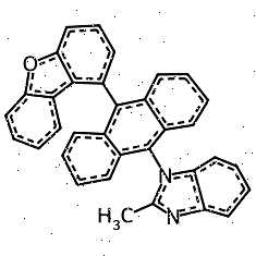 Cc1nc2ccccc2n1-c1c2ccccc2c(-c2cccc3oc4ccccc4c23)c2ccccc12